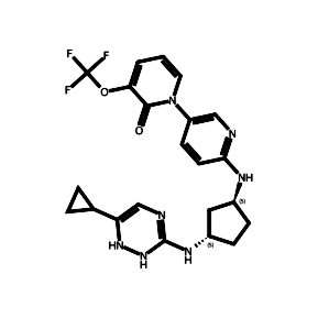 O=c1c(OC(F)(F)F)cccn1-c1ccc(N[C@H]2CC[C@H](NC3=NC=C(C4CC4)NN3)C2)nc1